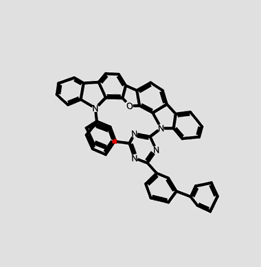 c1ccc(-c2cccc(-c3nc(-c4ccccc4)nc(-n4c5ccccc5c5ccc6c7ccc8c9ccccc9n(-c9ccccc9)c8c7oc6c54)n3)c2)cc1